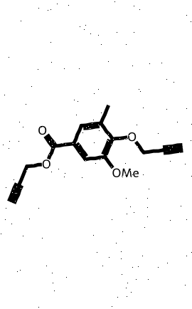 C#CCOC(=O)c1cc(C)c(OCC#C)c(OC)c1